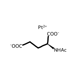 CC(=O)N[C@@H](CCC(=O)[O-])C(=O)[O-].[Pt+2]